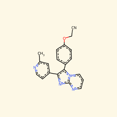 Cc1cc(-c2nc3ncccn3c2-c2ccc(OCC#N)cc2)ccn1